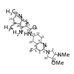 CNC1CN(c2cc(F)c3c(n2)CCC(NC(=O)c2sc4nc(C)cc(C)c4c2N)C3)CC1OC